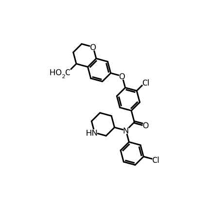 O=C(O)C1CCOc2cc(Oc3ccc(C(=O)N(c4cccc(Cl)c4)C4CCCNC4)cc3Cl)ccc21